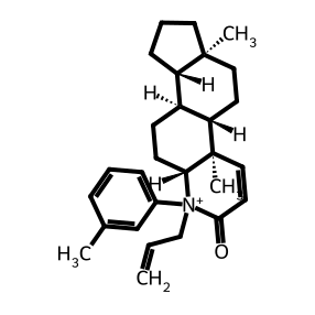 C=CC[N+]1(c2cccc(C)c2)C(=O)C=C[C@@]2(C)[C@H]1CC[C@H]1[C@@H]3CCC[C@@]3(C)CC[C@@H]12